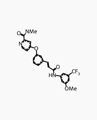 CNC(=O)c1cc(Oc2cccc(C=CC(=O)Nc3cc(OC)cc(C(F)(F)F)c3)c2)ccn1